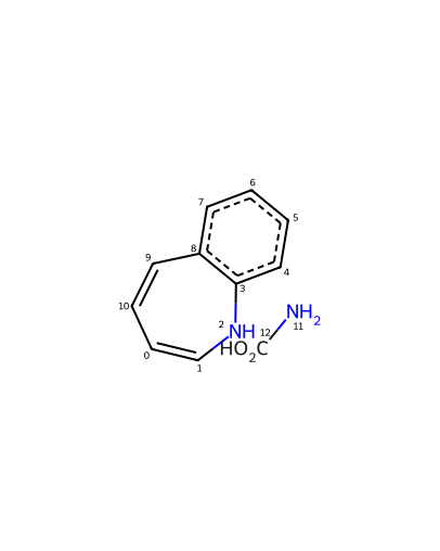 C1=CNc2ccccc2C=C1.NC(=O)O